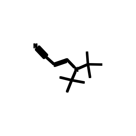 CC(C)(C)N(C=CC#N)C(C)(C)C